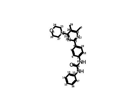 Cc1nc(-c2ccc(NC(=O)Nc3ccccc3)cc2)nc(N2CCOCC2)c1C